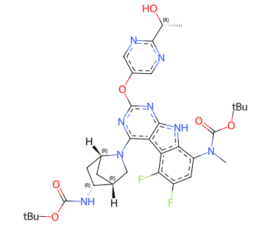 C[C@@H](O)c1ncc(Oc2nc(N3C[C@H]4C[C@@H]3C[C@H]4NC(=O)OC(C)(C)C)c3c(n2)[nH]c2c(N(C)C(=O)OC(C)(C)C)cc(F)c(F)c23)cn1